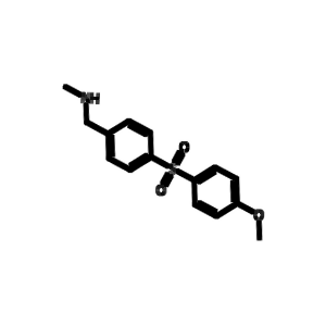 CNCc1ccc(S(=O)(=O)c2ccc(OC)cc2)cc1